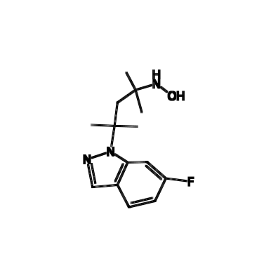 CC(C)(CC(C)(C)n1ncc2ccc(F)cc21)NO